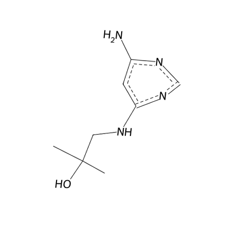 CC(C)(O)CNc1cc(N)ncn1